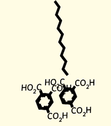 CCCCCCCCCCCC.O=C(O)c1ccc(C(=O)O)c(C(=O)O)c1.O=C(O)c1ccc(C(=O)O)c(C(=O)O)c1